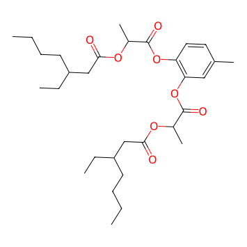 CCCCC(CC)CC(=O)OC(C)C(=O)Oc1ccc(C)cc1OC(=O)C(C)OC(=O)CC(CC)CCCC